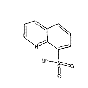 O=S(=O)(Br)c1cccc2cccnc12